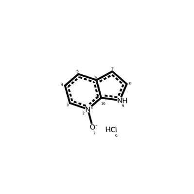 Cl.[O-][n+]1cccc2cc[nH]c21